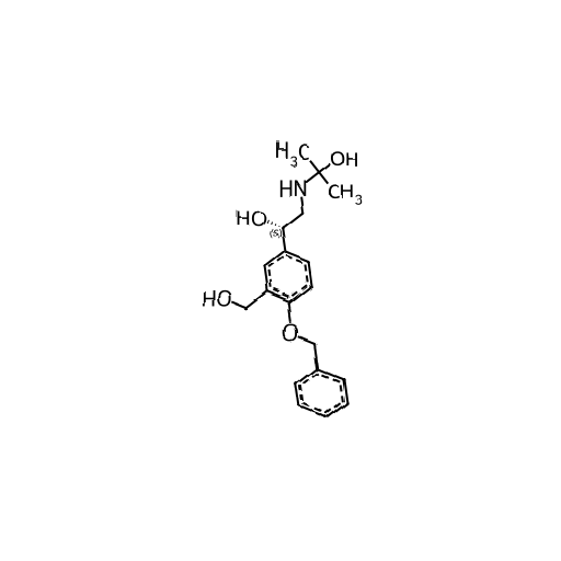 CC(C)(O)NC[C@@H](O)c1ccc(OCc2ccccc2)c(CO)c1